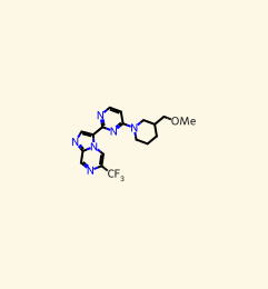 COCC1CCCN(c2ccnc(-c3cnc4cnc(C(F)(F)F)cn34)n2)C1